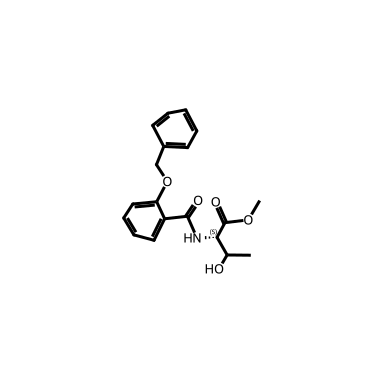 COC(=O)[C@@H](NC(=O)c1ccccc1OCc1ccccc1)C(C)O